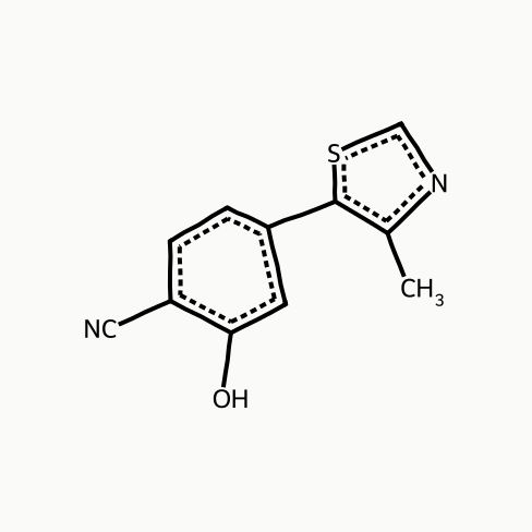 Cc1ncsc1-c1ccc(C#N)c(O)c1